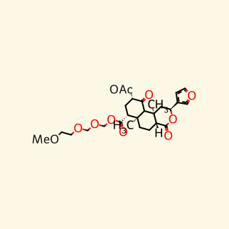 COCCOCOCOC(=O)[C@@H]1C[C@H](OC(C)=O)C(=O)C2[C@@]1(C)CC[C@H]1C(=O)O[C@H](c3ccoc3)C[C@]21C